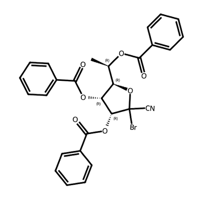 C[C@@H](OC(=O)c1ccccc1)[C@H]1OC(Br)(C#N)[C@H](OC(=O)c2ccccc2)[C@@H]1OC(=O)c1ccccc1